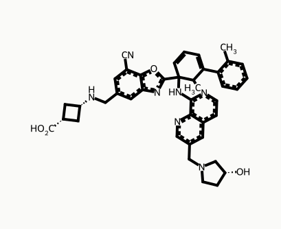 Cc1ccccc1C1=CC=CC(Nc2nccc3cc(CN4CC[C@@H](O)C4)cnc23)(c2nc3cc(CN[C@H]4C[C@@H](C(=O)O)C4)cc(C#N)c3o2)C1C